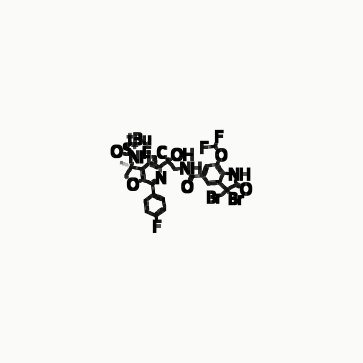 CC(C)(C)[S+]([O-])N[C@]1(C)COc2c1cc([C@](O)(CNC(=O)c1cc(OC(F)F)c3c(c1)C(Br)(Br)C(=O)N3)C(F)(F)F)nc2-c1ccc(F)cc1